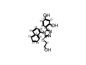 OCCSc1nnc(-c2ccc(O)cc2O)n1-c1cccc2ccccc12